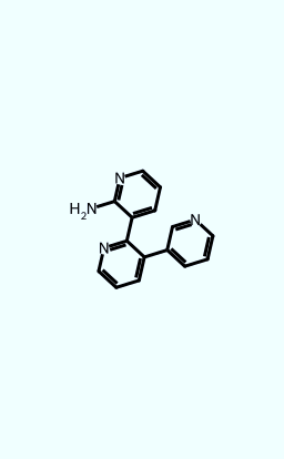 Nc1ncccc1-c1ncccc1-c1cccnc1